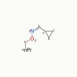 CCCCO/N=[C]\C1CC1